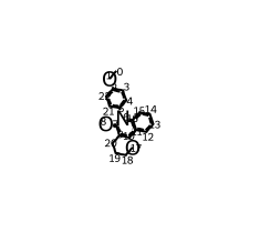 COc1ccc(-n2c(=O)c3c(c4ccccc42)OCCC3)cc1